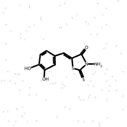 NN1C(=O)C(=Cc2ccc(O)c(O)c2)SC1=S